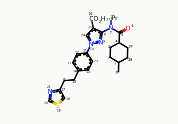 CC1CCC(C(=O)N(c2nn(-c3ccc(CCc4cscn4)cc3)cc2C(=O)O)C(C)C)CC1